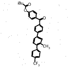 CCC(C)C(=O)Oc1ccc(C(=O)c2ccc(-c3ccc(-c4ccc(C(F)(F)F)cc4)c(C)c3)cc2)cc1